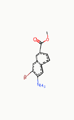 COC(=O)c1ccc2cc(N)c(Br)cc2c1